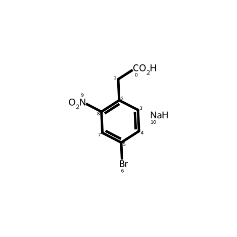 O=C(O)Cc1ccc(Br)cc1[N+](=O)[O-].[NaH]